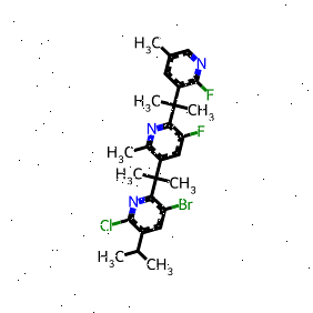 Cc1cnc(F)c(C(C)(C)c2nc(C)c(C(C)(C)c3nc(Cl)c(C(C)C)cc3Br)cc2F)c1